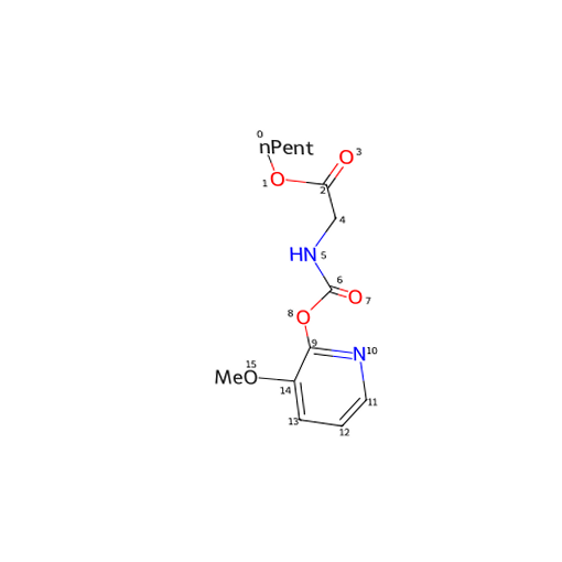 CCCCCOC(=O)CNC(=O)Oc1ncccc1OC